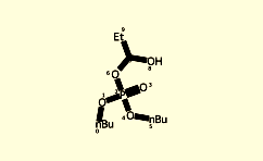 CCCCOP(=O)(OCCCC)OC(O)CC